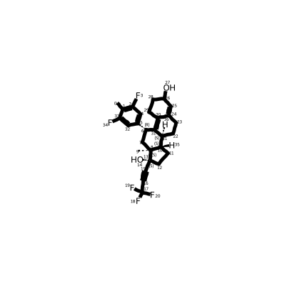 Cc1c(F)cc([C@H]2C[C@@]3(C)[C@@H](CC[C@@]3(O)C#CC(F)(F)F)[C@@H]3CCC4=CC(O)CCC4=C32)cc1F